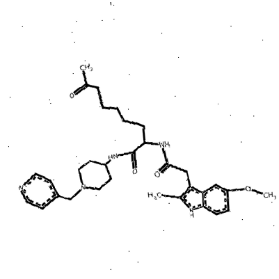 COc1ccc2[nH]c(C)c(CC(=O)NC(CCCCCC(C)=O)C(=O)NC3CCN(Cc4ccncc4)CC3)c2c1